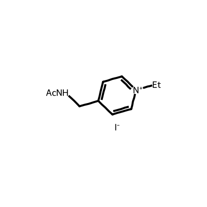 CC[n+]1ccc(CNC(C)=O)cc1.[I-]